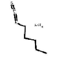 CCCCCN=C=S.[SnH4]